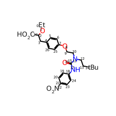 CCOC(Cc1ccc(OCCN(CCC(C)(C)C)C(=O)Nc2ccc([N+](=O)[O-])cc2)cc1)C(=O)O